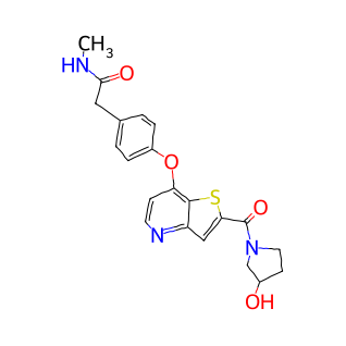 CNC(=O)Cc1ccc(Oc2ccnc3cc(C(=O)N4CCC(O)C4)sc23)cc1